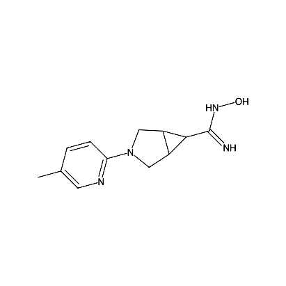 Cc1ccc(N2CC3C(C2)C3C(=N)NO)nc1